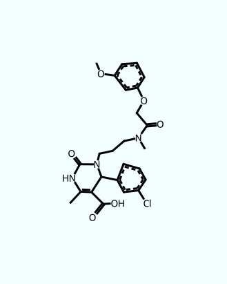 COc1cccc(OCC(=O)N(C)CCCN2C(=O)NC(C)=C(C(=O)O)C2c2cccc(Cl)c2)c1